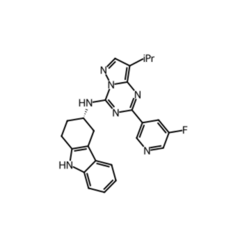 CC(C)c1cnn2c(N[C@H]3CCc4[nH]c5ccccc5c4C3)nc(-c3cncc(F)c3)nc12